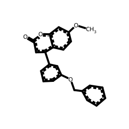 COc1ccc2c(-c3cccc(OCc4ccccc4)c3)cc(=O)oc2c1